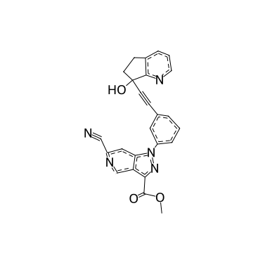 COC(=O)c1nn(-c2cccc(C#CC3(O)CCc4cccnc43)c2)c2cc(C#N)ncc12